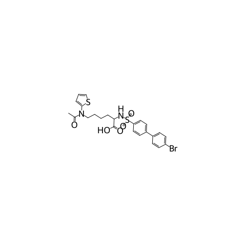 CC(=O)N(CCCCC(NS(=O)(=O)c1ccc(-c2ccc(Br)cc2)cc1)C(=O)O)c1cccs1